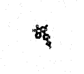 CCCC1C(=O)Nc2ccccc2N1C(=O)c1ccc(N2CC(F)C2)nc1